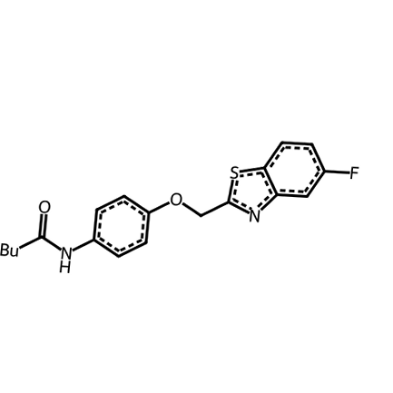 CCCCC(=O)Nc1ccc(OCc2nc3cc(F)ccc3s2)cc1